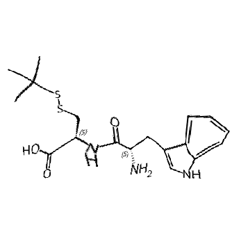 CC(C)(C)SSC[C@@H](NC(=O)[C@@H](N)Cc1c[nH]c2ccccc12)C(=O)O